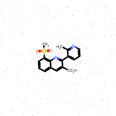 Cc1ncccc1-c1nc2c(S(C)(=O)=O)cccc2cc1C(=O)O